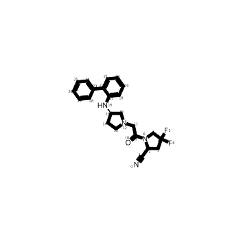 N#CC1CC(F)(F)CN1C(=O)CN1CC[C@H](Nc2ccccc2-c2ccccc2)C1